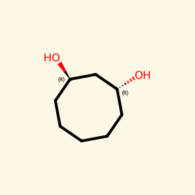 O[C@@H]1CCCCC[C@@H](O)C1